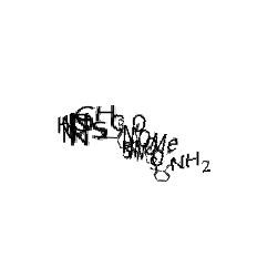 CO[C@@]1(NC(=O)C[S+]([O-])c2ccccc2CN)C(=O)N2C(C(=O)O)=C(CSc3nnnn3C)CS[C@H]21